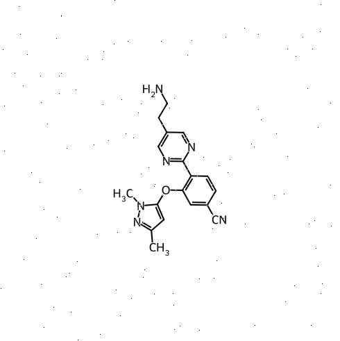 Cc1cc(Oc2cc(C#N)ccc2-c2ncc(CCN)cn2)n(C)n1